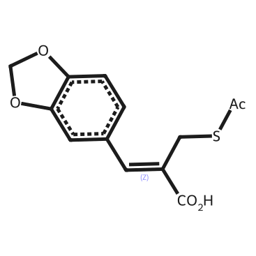 CC(=O)SC/C(=C\c1ccc2c(c1)OCO2)C(=O)O